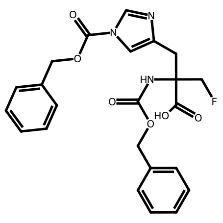 O=C(NC(CF)(Cc1cn(C(=O)OCc2ccccc2)cn1)C(=O)O)OCc1ccccc1